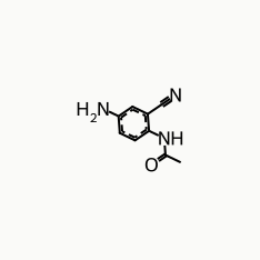 CC(=O)Nc1ccc(N)cc1C#N